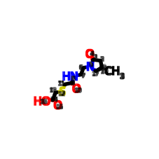 C[C@H]1CC(=O)N(CCNC(=O)CSCC(=O)O)C1